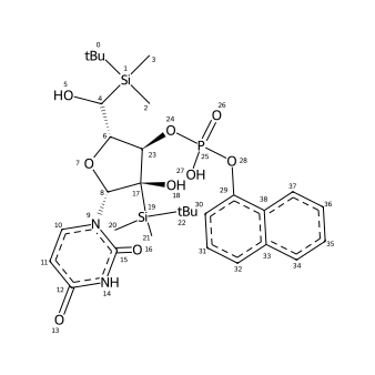 CC(C)(C)[Si](C)(C)C(O)[C@H]1O[C@@H](n2ccc(=O)[nH]c2=O)[C@@](O)([Si](C)(C)C(C)(C)C)[C@@H]1OP(=O)(O)Oc1cccc2ccccc12